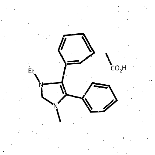 CC(=O)O.CCN1CN(C)C(c2ccccc2)=C1c1ccccc1